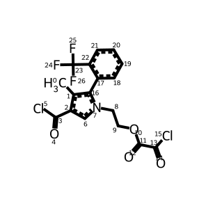 Cc1c(C(=O)Cl)cn(CCOC(=O)C(=O)Cl)c1-c1ccccc1C(F)(F)F